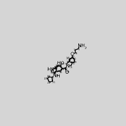 NCCCOc1ccc2c(c1)CN(C(=O)c1cc3c(NC4CCCC4)n[nH]c3cc1O)C2